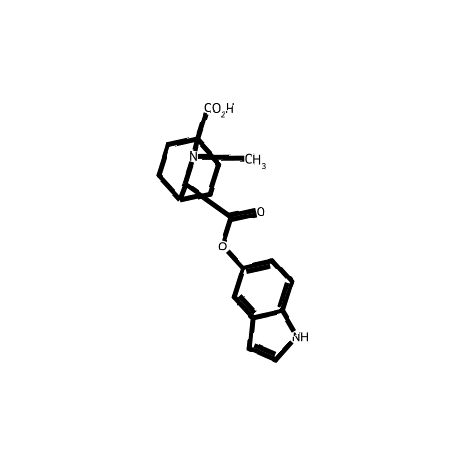 CN1C(C(=O)Oc2ccc3[nH]ccc3c2)C2CCC1(C(=O)O)CC2